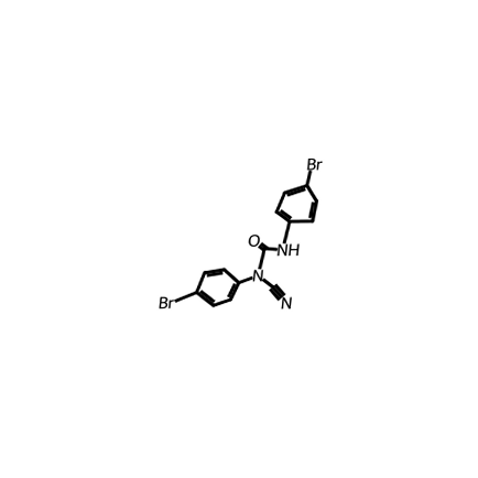 N#CN(C(=O)Nc1ccc(Br)cc1)c1ccc(Br)cc1